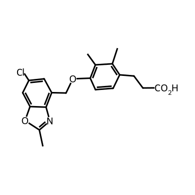 Cc1nc2c(COc3ccc(CCC(=O)O)c(C)c3C)cc(Cl)cc2o1